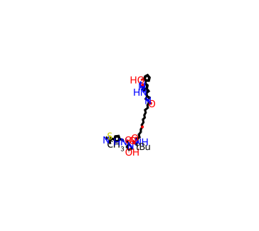 Cc1ncsc1-c1ccc(CNC(=O)[C@@H]2C[C@@H](O)CN2C(=O)[C@@H](NC(=O)CCCCCCCCCCCCCCC(=O)N2CC(c3cc4cc(-c5ccccc5O)nnc4[nH]3)C2)C(C)(C)C)cc1